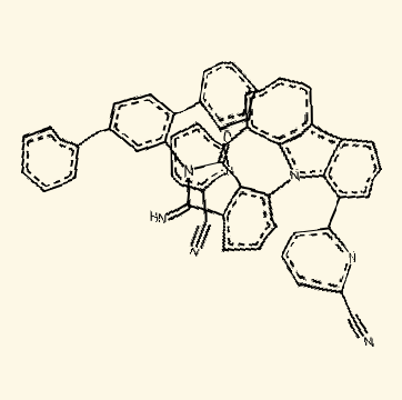 N#Cc1cccc(-c2cccc3c4cccc(-c5cccc(C#N)n5)c4n(-c4cccc5c4C(=O)N(c4cc(-c6ccccc6)ccc4-c4ccccc4)C5=N)c23)n1